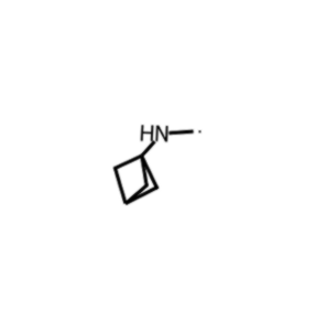 [CH2]NC12CC(C1)C2